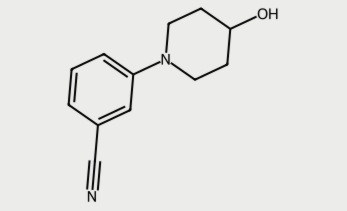 N#Cc1cccc(N2CCC(O)CC2)c1